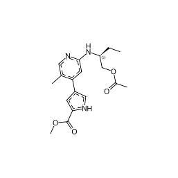 CC[C@@H](COC(C)=O)Nc1cc(-c2c[nH]c(C(=O)OC)c2)c(C)cn1